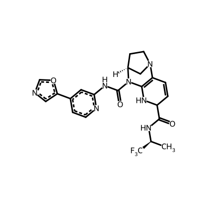 C[C@H](NC(=O)C1C=CC2=C(N1)N(C(=O)Nc1cc(-c3cnco3)ccn1)[C@H]1CCN2C1)C(F)(F)F